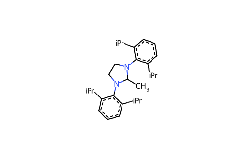 CC(C)c1cccc(C(C)C)c1N1CCN(c2c(C(C)C)cccc2C(C)C)C1C